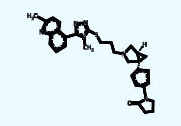 Cc1ccc2c(-c3nnc(SCCCN4C[C@H]5C[C@@]5(c5ccc(N6CCCC6=O)cc5)C4)n3C)cccc2n1